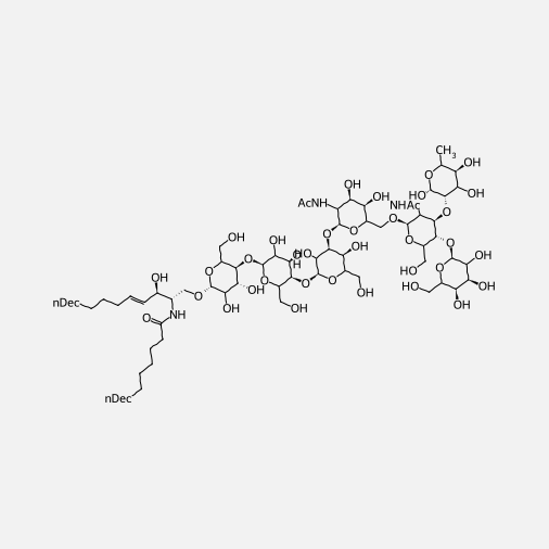 CCCCCCCCCCCCC/C=C/[C@@H](O)[C@H](CO[C@@H]1OC(CO)[C@@H](O[C@@H]2OC(CO)[C@H](O[C@@H]3OC(CO)[C@H](O)[C@H](O[C@@H]4OC(CO[C@@H]5OC(CO)[C@@H](O[C@@H]6OC(CO)[C@H](O)[C@H](O)C6O)[C@H](O[C@H]6C(O)[C@H](O)C(C)O[C@H]6O)C5NC(C)=O)[C@H](O)[C@H](O)C4NC(C)=O)C3O)[C@H](O)C2O)[C@H](O)C1O)NC(=O)CCCCCCCCCCCCCCC